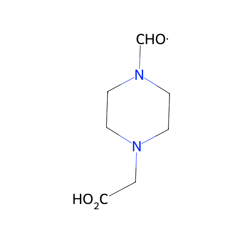 O=[C]N1CCN(CC(=O)O)CC1